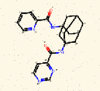 O=C(NC12CC3CC(C1)CC(NC(=O)c1ccncn1)(C3)C2)c1ccccn1